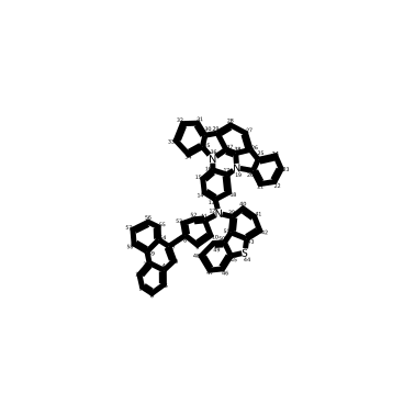 c1ccc2c(c1)cc(-c1ccc(N(c3ccc4c(c3)n3c5ccccc5c5ccc6c7ccccc7n4c6c53)c3cccc4sc5ccccc5c34)cc1)c1ccccc12